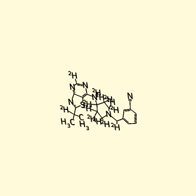 [2H]c1nc(N([2H])C2([2H])C([2H])([2H])C([2H])([2H])N(C([2H])c3cccc(C#N)c3)C([2H])([2H])C2([2H])[2H])c2sc(C([2H])(C)C)nc2n1